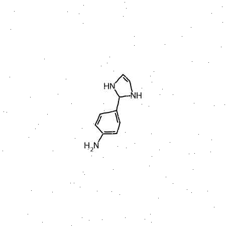 Nc1ccc(C2NC=CN2)cc1